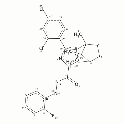 CC12CCC(c3c(C(=O)NNc4ccccc4F)nn(-c4ccc(Cl)cc4Cl)c31)C2(C)C